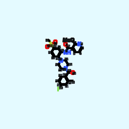 COc1ncccc1C(=O)Nc1cc(S(C)(=O)=O)ccc1N1CCN(C(=O)c2ccc(F)cc2C)CC1